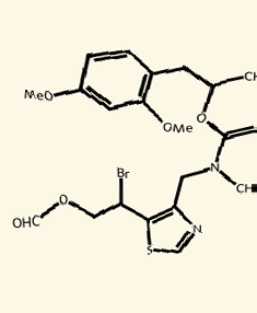 COc1ccc(CC(C)OC(=O)N(C)Cc2ncsc2C(Br)COC=O)c(OC)c1